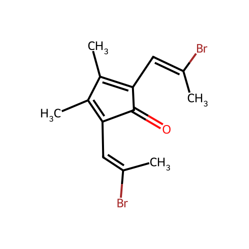 CC1=C(/C=C(\C)Br)C(=O)C(/C=C(\C)Br)=C1C